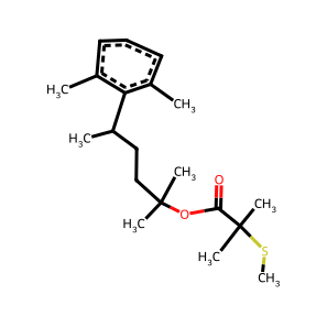 CSC(C)(C)C(=O)OC(C)(C)CCC(C)c1c(C)cccc1C